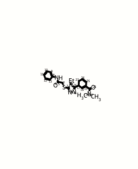 CCn1c(SCC(=O)Nc2ccccc2)nnc1C1C=C(C(=O)N(C)C)C=CC1